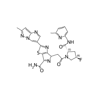 Cc1cccc(NC(=O)[C@@H]2C[C@@H](F)CN2C(=O)CC2N=C(C(N)=O)c3sc(-c4cnc5cc(C)nn5c4)nc32)n1